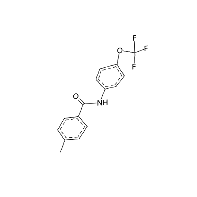 Cc1ccc(C(=O)Nc2ccc(OC(F)(F)F)cc2)cc1